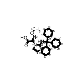 CON=C(C(=O)O)N1C=CSC1NC(c1ccccc1)(c1ccccc1)c1ccccc1